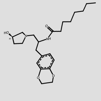 CCCCCCCC(=O)NC(Cc1ccc2c(c1)OCCO2)CN1CC[C@@H](O)C1